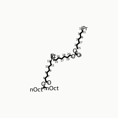 CCCCCCCCC(CCCCCCCC)OC(=O)CCCCCCCN(CC)CCCCCCOC(=O)OCCCCCCCC(C)C